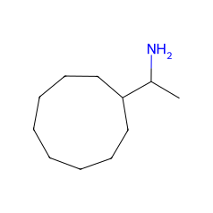 CC(N)C1CCCCCCCC1